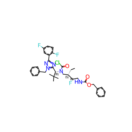 CC[C@@H](CN(C(=O)Cl)[C@@H](c1nc(-c2cc(F)ccc2F)nn1Cc1ccccc1)C(C)(C)C)[C@@H](F)CNC(=O)OCc1ccccc1